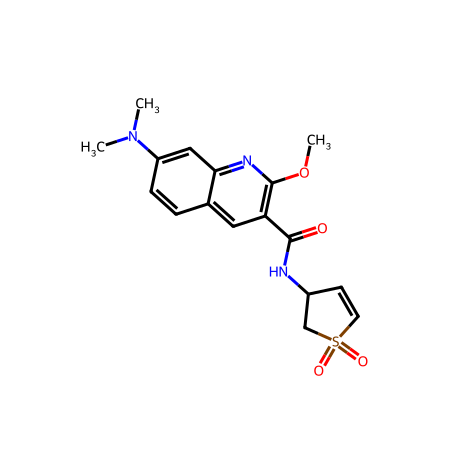 COc1nc2cc(N(C)C)ccc2cc1C(=O)NC1C=CS(=O)(=O)C1